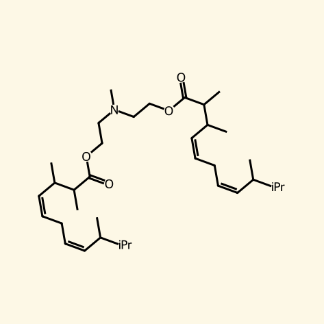 CC(C)C(C)/C=C\C/C=C\C(C)C(C)C(=O)OCCN(C)CCOC(=O)C(C)C(C)/C=C\C/C=C\C(C)C(C)C